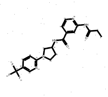 CCC(=O)Nc1cc(C(=O)NC2CCN(c3ccc(C(F)(F)F)cn3)C2)ccn1